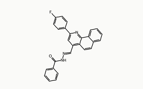 O=C(N/N=C/c1cc(-c2ccc(F)cc2)nc2c1ccc1ccccc12)c1ccccc1